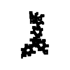 COC(C)(NC(C)N1CCC(c2cn(-c3ccc(F)cc3)c3cc(Cl)ccc23)CC1)OC